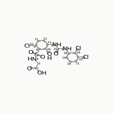 O=C(O)CNS(=O)(=O)c1c(Cl)ccc(NC(=O)Nc2cccc(Cl)c2Cl)c1O